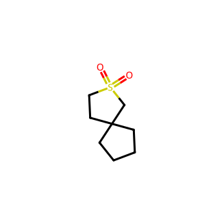 O=S1(=O)CCC2(CCCC2)C1